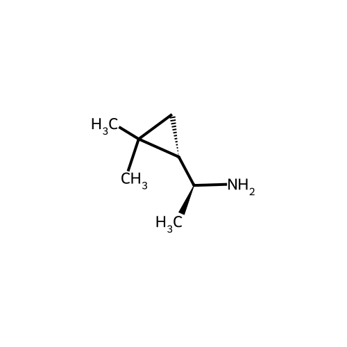 C[C@H](N)[C@H]1CC1(C)C